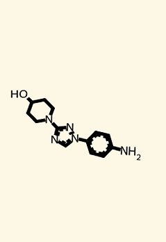 Nc1ccc(-n2cnc(N3CCC(O)CC3)n2)cc1